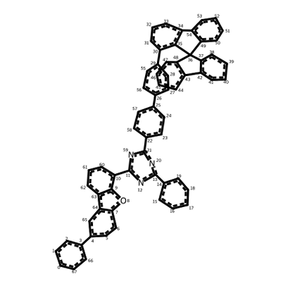 c1ccc(-c2ccc3oc4c(-c5nc(-c6ccccc6)nc(-c6ccc(-c7ccc(-c8cccc9c8C8(c%10ccccc%10-c%10ccccc%108)c8ccccc8-9)cc7)cc6)n5)cccc4c3c2)cc1